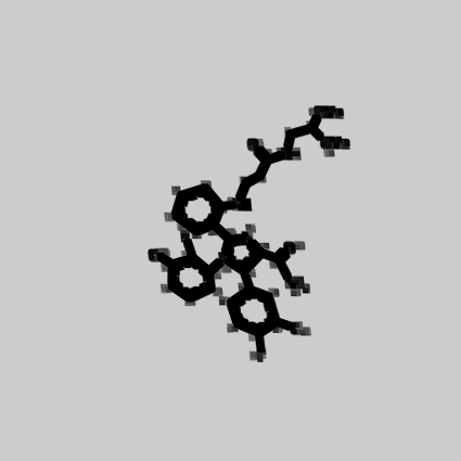 COC(CNC(=O)CCNc1ccccc1-c1nc(C(N)=O)c(-c2ccc(F)c(Cl)c2)n1-c1cccc(Cl)c1F)OC